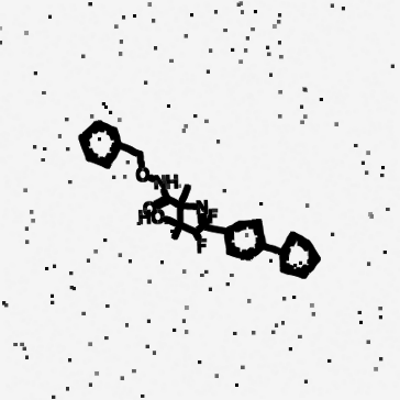 CC(/N=C/c1ccc(-c2ccccc2)cc1)(C(=O)NOCc1ccccc1)C(C)(O)C(F)F